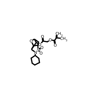 C=C(C)C(=O)OCC(=O)OC1C2CC3C(O2)C1N(C1CCCCC1)S3(=O)=O